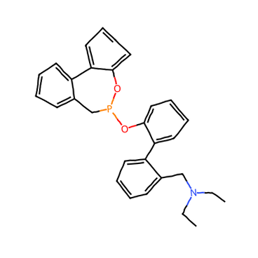 CCN(CC)Cc1ccccc1-c1ccccc1OP1Cc2ccccc2-c2ccccc2O1